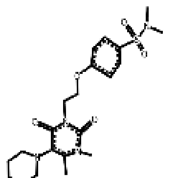 Cc1c(N2CCCCC2)c(=O)n(CCOc2ccc(S(=O)(=O)N(C)C)cc2)c(=O)n1C